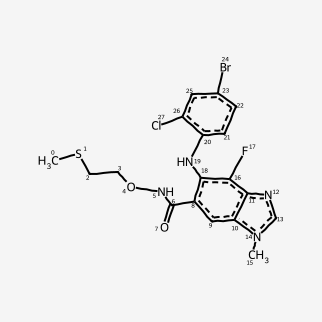 CSCCONC(=O)c1cc2c(ncn2C)c(F)c1Nc1ccc(Br)cc1Cl